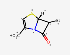 CCC1C(=O)N2C(C(=O)O)=CS[C@H]12